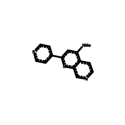 CNc1cc(-c2ccncc2)nc2cnccc12